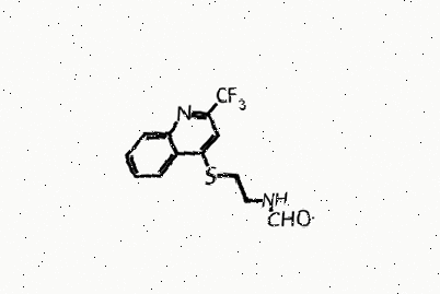 O=[C]NCCSc1cc(C(F)(F)F)nc2ccccc12